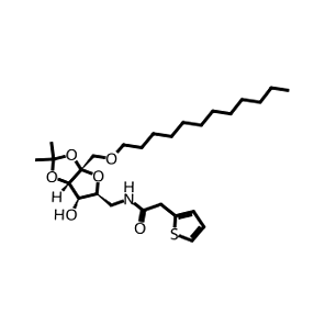 CCCCCCCCCCCCOC[C@@]12O[C@@H](CNC(=O)Cc3cccs3)[C@@H](O)[C@@H]1OC(C)(C)O2